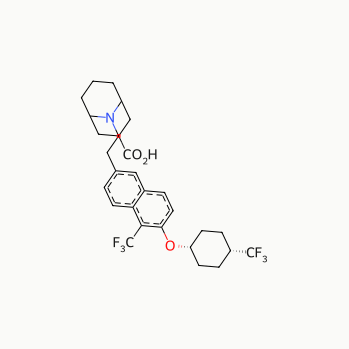 O=C(O)C1CC2CCCC(C1)N2CCc1ccc2c(C(F)(F)F)c(O[C@H]3CC[C@@H](C(F)(F)F)CC3)ccc2c1